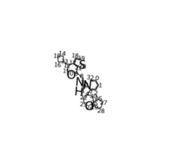 c1ccc([C@]2(CCNCC3OCC(C4CCC4)c4ccsc43)CCOC3(CCCC3)C2)nc1